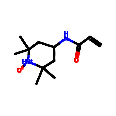 C=CC(=O)NC1CC(C)(C)[NH+]([O-])C(C)(C)C1